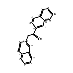 O=C(C[n+]1ccc2ccccc2c1)c1ccc2ccccc2c1